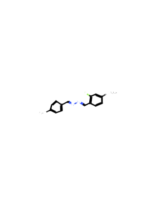 COc1ccc(C=NN=Cc2ccc(C#N)cc2)c(F)c1